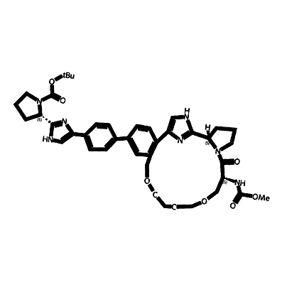 COC(=O)N[C@H]1COCCCCOCc2cc(-c3ccc(-c4c[nH]c([C@@H]5CCCN5C(=O)OC(C)(C)C)n4)cc3)ccc2-c2c[nH]c(n2)[C@@H]2CCCN2C1=O